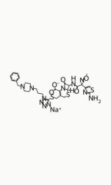 CON=C(C(=O)NC1C(=O)N2C(C(=O)[O-])=C(CSc3nnnn3CCCN3CCN(Cc4ccccc4)CC3)CS[C@@H]12)c1csc(N)n1.[Na+]